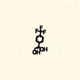 OC[C@H](O)c1ccc(C(F)(F)F)cc1